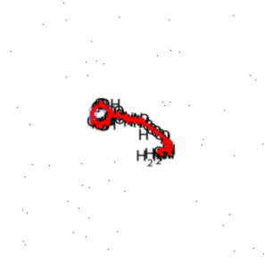 CO[C@H]1C[C@@H]2CC[C@@H](C)[C@@](O)(O2)C(=O)C(=O)N2CCCC[C@H]2C(=O)O[C@H]([C@H](C)C[C@@H]2CC[C@@H](OC(=O)N3CCc4nc(N5CCN(c6ncc(C(=O)NCCOCCOCCOCCOCCC(=O)N7CCc8cc(Cn9nc(-c%10ccc%11oc(N)nc%11c%10)c%10c(N)ncnc%109)ccc8C7)cn6)CC5)ncc4C3)[C@H](OC)C2)CC(=O)[C@H](C)/C=C(\C)[C@@H](O)[C@@H](OC)C(=O)[C@H](C)C[C@H](C)/C=C/C=C/C=C/1C